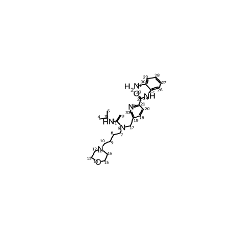 C=C(NC(C)C)N(CCCCN1CCOCC1)Cc1ccc(C(=O)Nc2ccccc2N)nc1